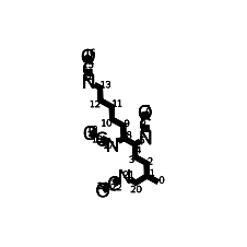 CC(CCC(N=C=O)C(CCCCCN=C=O)N=C=O)CN=C=O